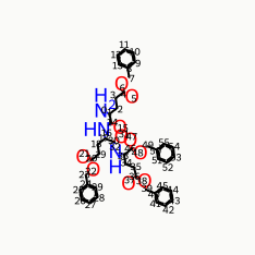 NC(CCC(=O)OCc1ccccc1)C(=O)NC(CCC(=O)OCc1ccccc1)C(=O)NC(CCC(=O)OCc1ccccc1)C(=O)OCc1ccccc1